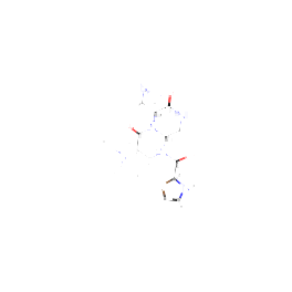 CN(C)[C@H]1CN(C(=O)c2nccs2)C2CNC(=O)[C@H](CN)N2C1=O